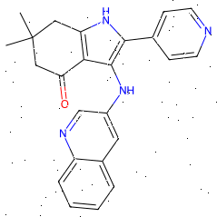 CC1(C)CC(=O)c2c([nH]c(-c3ccncc3)c2Nc2cnc3ccccc3c2)C1